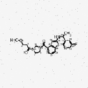 COCCC(=O)N1CCN(C(=O)c2nccc3sc(NC(C)c4cncc(F)c4)cc23)C1